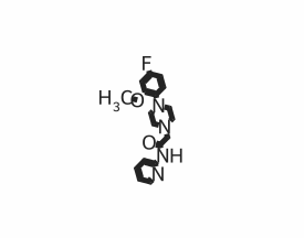 COc1cc(F)ccc1N1CCN(CC(=O)Nc2ccccn2)CC1